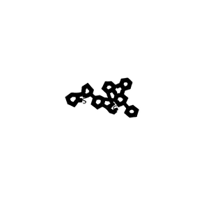 c1ccc(-c2cc3c4c(c2)c2ccccc2c2cccc(c24)C32c3ccccc3-c3ccc(-c4cccc5c4sc4ccccc45)cc32)cc1